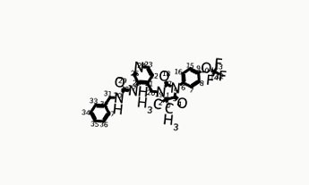 CC1(C)C(=O)N(c2ccc(OC(F)(F)F)cc2)C(=O)N1Cc1ccncc1NC(=O)NCc1ccccc1